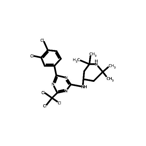 CC1(C)CC(Nc2nc(-c3ccc(Cl)c(Cl)c3)nc(C(Cl)(Cl)Cl)n2)CC(C)(C)N1